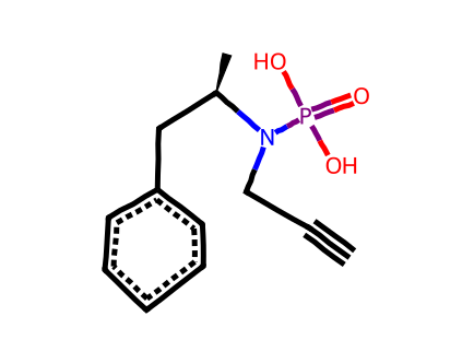 C#CCN([C@H](C)Cc1ccccc1)P(=O)(O)O